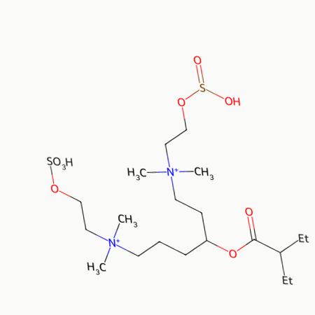 CCC(CC)C(=O)OC(CCC[N+](C)(C)CCOS(=O)(=O)O)CC[N+](C)(C)CCOS(=O)O